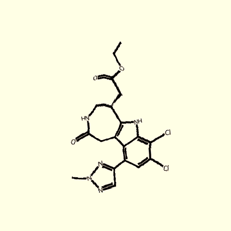 CCOC(=O)C[C@@H]1CNC(=O)Cc2c1[nH]c1c(Cl)c(Cl)cc(-c3cnn(C)n3)c21